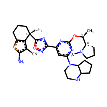 C[C@H](Oc1nc(-c2noc([C@@]3(C)CCCc4sc(N)c(C#N)c43)n2)cc(N2CCNC3CCCC32)n1)[C@@H]1CCCN1C